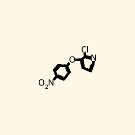 O=[N+]([O-])c1ccc(Oc2cccnc2Cl)cc1